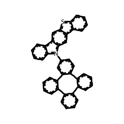 c1ccc2c(c1)-c1ccccc1-c1ccc(-n3c4ccccc4c4cc5sc6ccccc6c5cc43)cc1-c1ccccc1-2